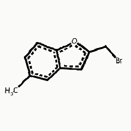 Cc1ccc2oc(CBr)cc2c1